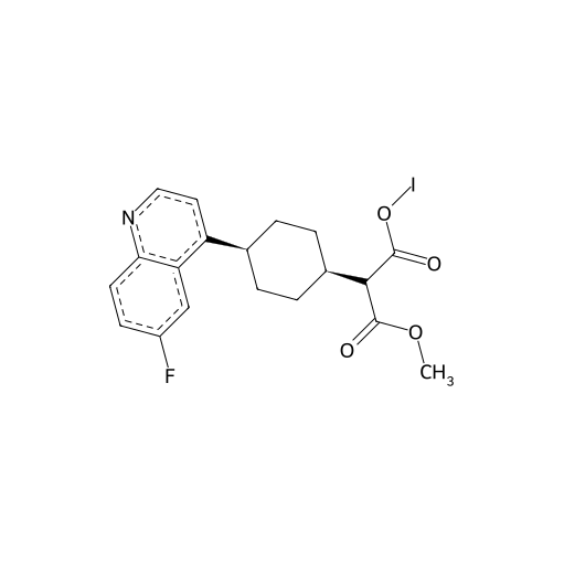 COC(=O)C(C(=O)OI)[C@H]1CC[C@@H](c2ccnc3ccc(F)cc32)CC1